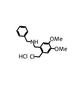 COc1cc(CCl)c(CNCc2ccccc2)cc1OC.Cl